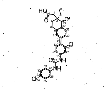 CCC1(CC(=O)O)CCc2cc(-c3ccc(NC(=O)Nc4ccc(Cl)cc4)cc3Cl)ccc2C1=O